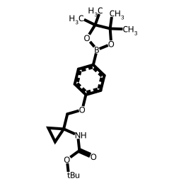 CC(C)(C)OC(=O)NC1(COc2ccc(B3OC(C)(C)C(C)(C)O3)cc2)CC1